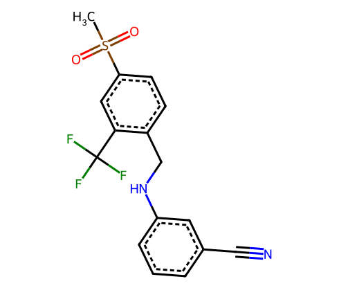 CS(=O)(=O)c1ccc(CNc2cccc(C#N)c2)c(C(F)(F)F)c1